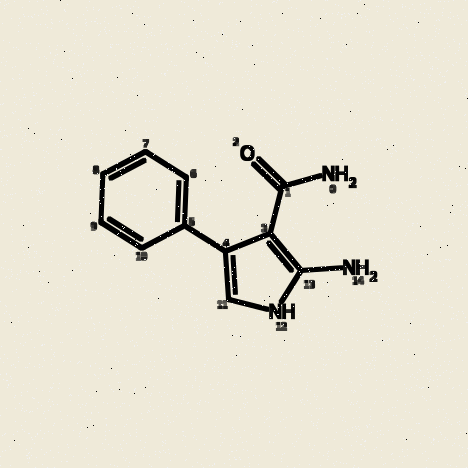 NC(=O)c1c(-c2ccccc2)c[nH]c1N